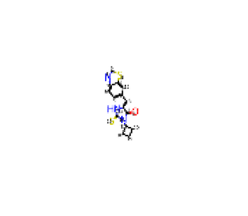 O=C1/C(=C/c2ccc3ncsc3c2)NC(=S)N1C1CCC1